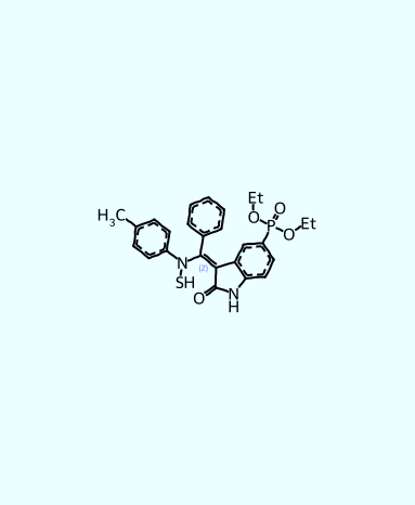 CCOP(=O)(OCC)c1ccc2c(c1)/C(=C(\c1ccccc1)N(S)c1ccc(C)cc1)C(=O)N2